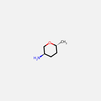 C[C@@H]1CC[C@@H](N)CO1